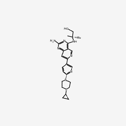 CCCC[C@](C)(CO)Nc1nc(N)nc2cc(-c3ccc(N4CCN(C5CC5)CC4)nc3)ncc12